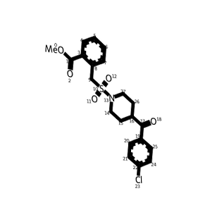 COC(=O)c1ccccc1CS(=O)(=O)N1CCC(C(=O)c2ccc(Cl)cc2)CC1